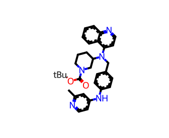 Cc1cc(Nc2ccc(CN(c3ccnc4ccccc34)C3CCCN(C(=O)OC(C)(C)C)C3)cc2)ccn1